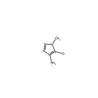 Cn1cnc(N)c1Cl